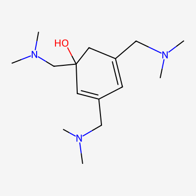 CN(C)CC1=CC(O)(CN(C)C)CC(CN(C)C)=C1